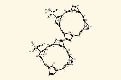 O=S(=O)([O-])c1cc2cc3nc(cc4ccc(cc5nc(cc1[nH]2)C=C5)[nH]4)C=C3.O=S(=O)([O-])c1cc2cc3nc(cc4ccc(cc5nc(cc1[nH]2)C=C5)[nH]4)C=C3.[Co+2]